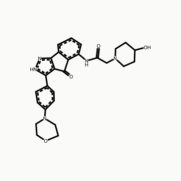 O=C(CN1CCC(O)CC1)Nc1cccc2c1C(=O)c1c-2n[nH]c1-c1ccc(N2CCOCC2)cc1